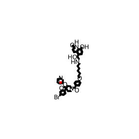 O=C(c1ccc(OCCCCCCNCC(O)c2ccc(O)c3[nH]c(=O)ccc23)cc1)N1CCC(C(=O)OC2CN3CCC2CC3)(c2ccc(Br)cc2)CC1